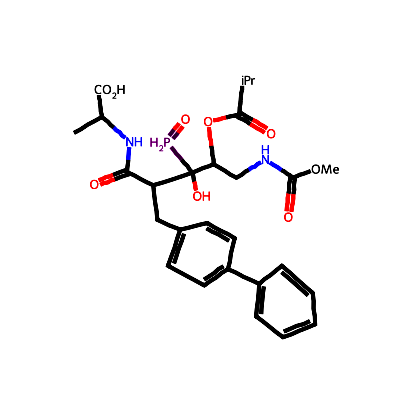 COC(=O)NCC(OC(=O)C(C)C)C(O)([PH2]=O)C(Cc1ccc(-c2ccccc2)cc1)C(=O)NC(C)C(=O)O